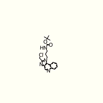 CC(C)(C)OC(=O)NCCCn1c(CCl)nc2cnc3ccccc3c21